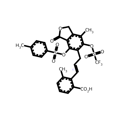 Cc1ccc(S(=O)(=O)Oc2c(C/C=C/c3c(C)cccc3C(=O)O)c(OS(=O)(=O)C(F)(F)F)c(C)c3c2C(=O)OC3)cc1